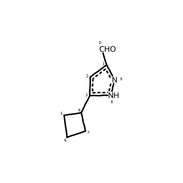 O=Cc1cc(C2CCC2)[nH]n1